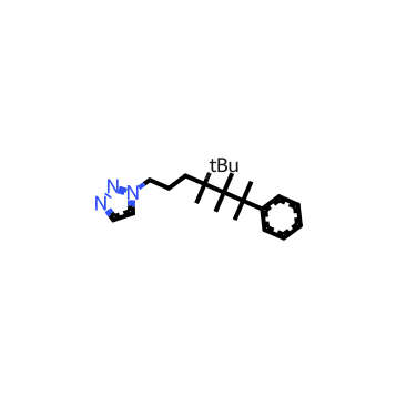 CC(C)(C)C(C)(CCCn1ccnn1)C(C)(C)C(C)(C)c1ccccc1